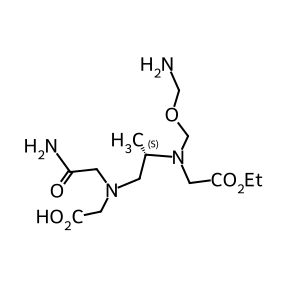 CCOC(=O)CN(COCN)[C@@H](C)CN(CC(N)=O)CC(=O)O